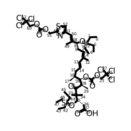 CC[Si](CC)(CC)O[C@@H](C/C=C(C)\C=C\C[C@H](C)[C@H](OC(=O)OCC(Cl)(Cl)Cl)[C@@H](C)C(=O)C(C)(C)[C@H](CC(=O)O)O[Si](CC)(CC)CC)/C(C)=C/c1csc(COC(=O)OCC(Cl)(Cl)Cl)n1